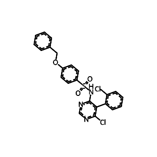 O=S(=O)(Nc1ncnc(Cl)c1-c1ccccc1Cl)c1ccc(OCc2ccccc2)cc1